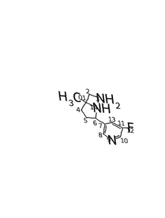 CC1(CN)CCC(c2cncc(F)c2)N1